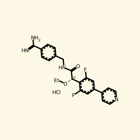 CCO[C@H](C(=O)NCc1ccc(C(=N)N)cc1)c1c(F)cc(-c2ccncc2)cc1F.Cl